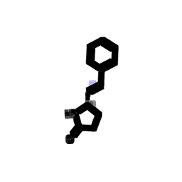 O=C1CC[C@@H](/C=C/c2ccccc2)N1